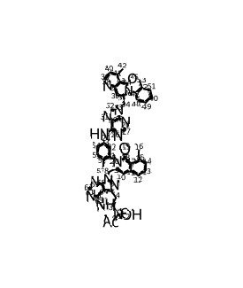 CC(=O)N(O)CCc1nn(Cc2cc3cccc(C)c3c(=O)n2-c2cc(Nc3ncnc4c3ncn4Cc3cc4nccc(C)c4c(=O)n3-c3ccccc3C)ccc2C)c2ncnc(N)c12